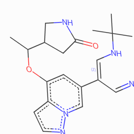 CC(Oc1cc(/C(C=N)=C/NC(C)(C)C)cn2nccc12)C1CNC(=O)C1